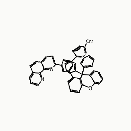 N#Cc1ccc(-c2cc(-c3ccc4ccc5cccnc5c4n3)cc(-c3cccc4c3C(c3ccccc3)(c3ccccc3)c3ccccc3O4)c2)cc1